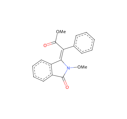 COC(=O)/C(=C1\c2ccccc2C(=O)N1OC)c1ccccc1